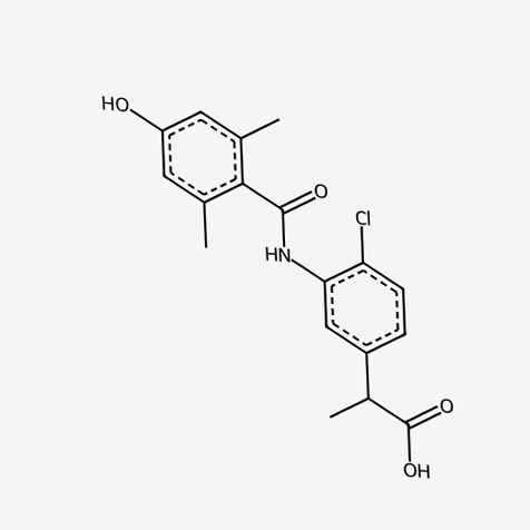 Cc1cc(O)cc(C)c1C(=O)Nc1cc(C(C)C(=O)O)ccc1Cl